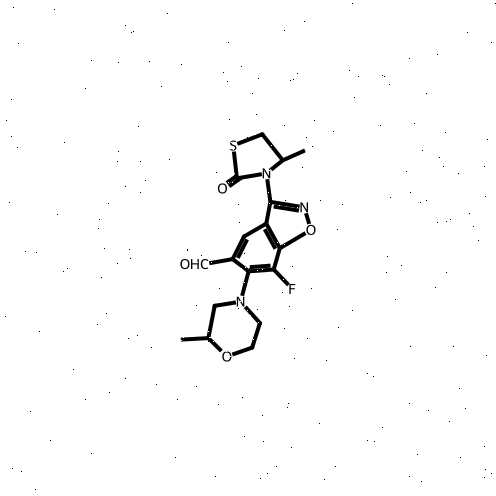 CC1CN(c2c(C=O)cc3c(N4C(=O)SCC4C)noc3c2F)CCO1